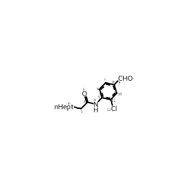 CCCCCCCCC(=O)Nc1ccc([C]=O)cc1Cl